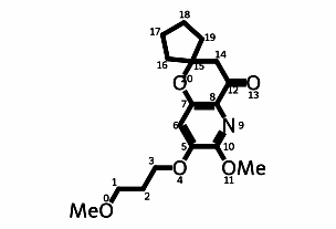 COCCCOc1cc2c(nc1OC)C(=O)CC1(CCCC1)O2